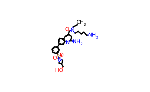 CCCN(CCCCCN)C(=O)C1=Cc2ccc(-c3cccc(S(=O)(=O)N4CC(CO)C4)c3)cc2N=C(N)C1